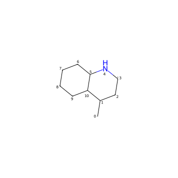 CC1C[CH]NC2CCCCC12